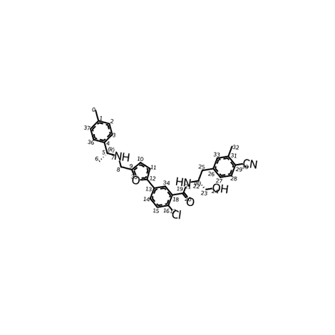 Cc1ccc([C@@H](C)NCc2ccc(-c3ccc(Cl)c(C(=O)N[C@@H](CO)Cc4ccc(C#N)c(C)c4)c3)o2)cc1